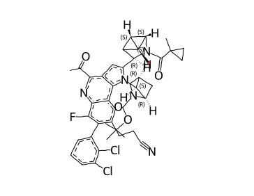 CC(=O)c1nc2c(F)c(-c3cccc(Cl)c3Cl)c(CCC#N)cc2c2c1cc([C@H]1C3[C@@H]4[C@H](N1C(=O)C1(C)CC1)[C@]34C)n2[C@H]1[C@@H]2C[C@H]1N(C(=O)OC(C)(C)C)C2